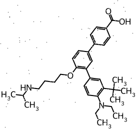 CCN(CC)c1ccc(-c2cc(-c3ccc(C(=O)O)cc3)ccc2OCCCCNC(C)C)cc1C(C)(C)C